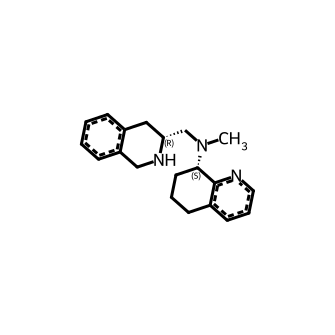 CN(C[C@H]1Cc2ccccc2CN1)[C@H]1CCCc2cccnc21